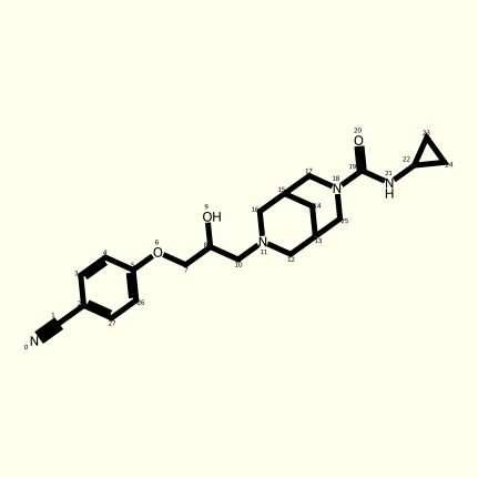 N#Cc1ccc(OCC(O)CN2CC3CC(C2)CN(C(=O)NC2CC2)C3)cc1